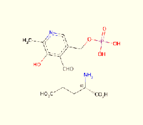 Cc1ncc(COP(=O)(O)O)c(C=O)c1O.N[C@@H](CCC(=O)O)C(=O)O